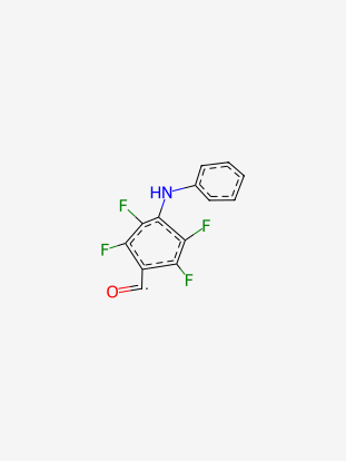 O=[C]c1c(F)c(F)c(Nc2ccccc2)c(F)c1F